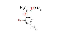 COCC(C)Oc1ccc(C)cc1Br